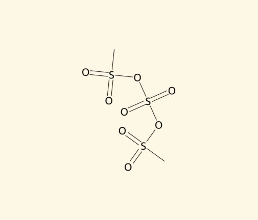 CS(=O)(=O)OS(=O)(=O)OS(C)(=O)=O